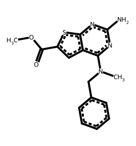 COC(=O)c1cc2c(N(C)Cc3ccccc3)nc(N)nc2s1